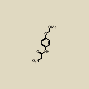 COCOc1ccc(NC(=O)C[N+](=O)[O-])cc1